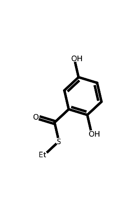 CCSC(=O)c1cc(O)ccc1O